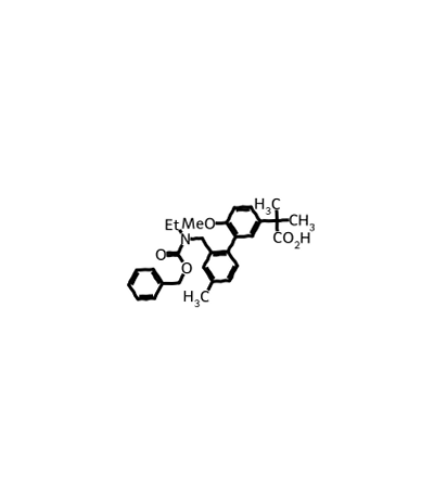 CCN(Cc1cc(C)ccc1-c1cc(C(C)(C)C(=O)O)ccc1OC)C(=O)OCc1ccccc1